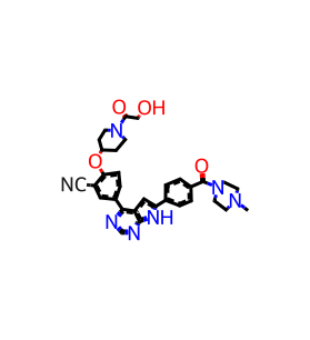 CN1CCN(C(=O)c2ccc(-c3cc4c(-c5ccc(OC6CCN(C(=O)CO)CC6)c(C#N)c5)ncnc4[nH]3)cc2)CC1